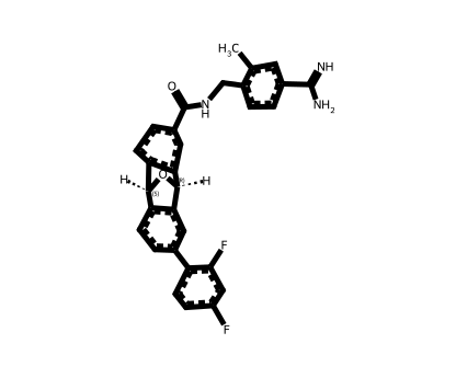 Cc1cc(C(=N)N)ccc1CNC(=O)c1ccc2c(c1)[C@@H]1O[C@H]2c2ccc(-c3ccc(F)cc3F)cc21